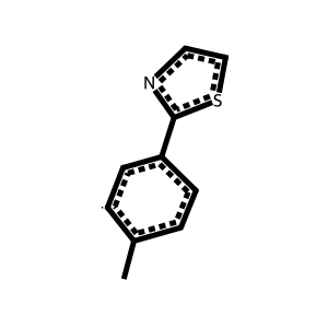 Cc1[c]cc(-c2nccs2)cc1